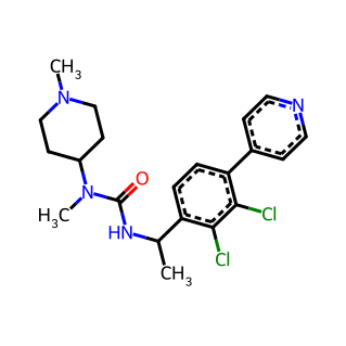 CC(NC(=O)N(C)C1CCN(C)CC1)c1ccc(-c2ccncc2)c(Cl)c1Cl